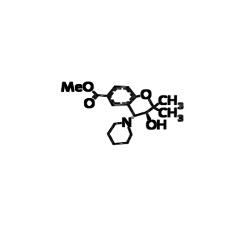 COC(=O)c1ccc2c(c1)[C@@H](N1CCCCC1)[C@H](O)C(C)(C)O2